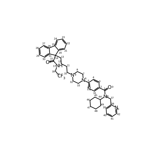 O=C(c1ccc(N2CCN(CCCCC3(C(=O)NCC(F)(F)F)c4ccccc4-c4ccccc43)CC2)nc1)N(Cc1ccccn1)C1CCCCC1